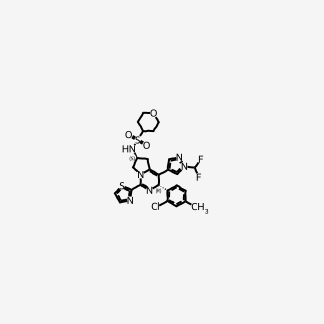 Cc1ccc([C@@H]2N=C(c3nccs3)N3C[C@@H](NS(=O)(=O)C4CCOCC4)CC3=C2c2cnn(C(F)F)c2)c(Cl)c1